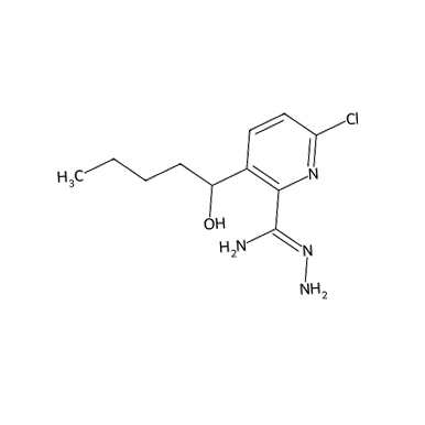 CCCCC(O)c1ccc(Cl)nc1/C(N)=N/N